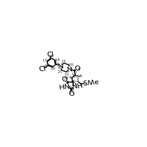 CSCC[C@]1(C[C@H](C)C(=O)N2CCN(c3cc(Cl)cc(Cl)c3)CC2)NC(=O)NC1=O